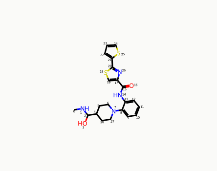 CNC(O)C1CCN(c2ccccc2NC(=O)c2csc(-c3cccs3)n2)CC1